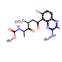 CCOC(=O)C(CC(=O)c1c(F)ccc2nc(C)c(NC(C)(C)C)nc12)C(=O)C(C)NC(=O)OC(C)(C)C